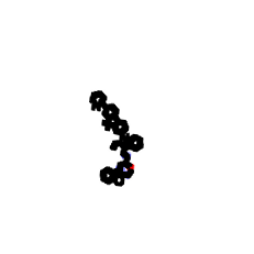 C=Cc1c(/C=C/C(=C)/C=c2\c(=C/C)oc3ccccc23)c2ccccc2n1-c1ccc2c(c1)C(C)(C)c1cc(-c3ccccn3)ccc1-2